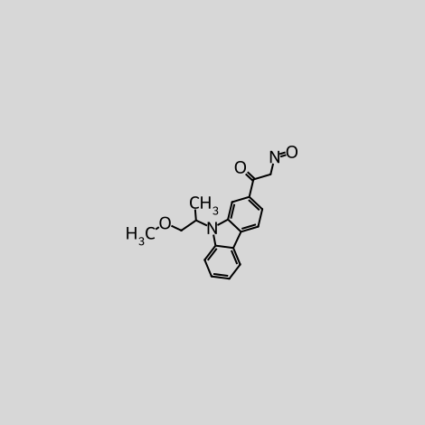 COCC(C)n1c2ccccc2c2ccc(C(=O)CN=O)cc21